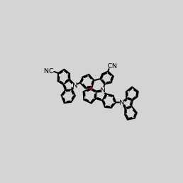 N#Cc1ccc(-n2c3ccccc3c3ccc(-n4c5ccccc5c5ccccc54)cc32)c(-c2ccc(-n3c4ccccc4c4cc(C#N)ccc43)cc2)c1